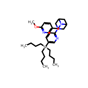 CCC[CH2][Sn]([CH2]CCC)([CH2]CCC)[c]1ccc(N2CC3CC(C2)N3Cc2ccc(OC)nc2)nc1